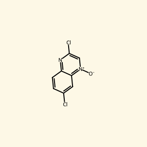 [O-][n+]1cc(Cl)nc2ccc(Cl)cc21